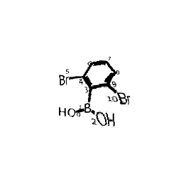 OB(O)c1c(Br)cccc1Br